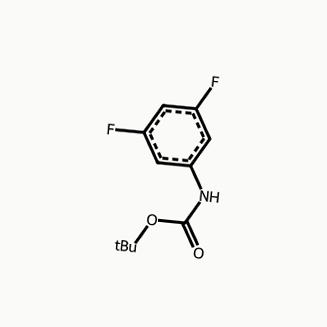 CC(C)(C)OC(=O)Nc1cc(F)cc(F)c1